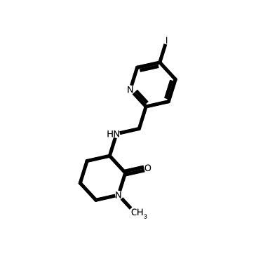 CN1CCCC(NCc2ccc(I)cn2)C1=O